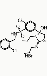 Br.CCCN=C1SCC(O)(c2ccc(Cl)c(S(=O)(=O)NCc3ccccc3Cl)c2)N1CCC